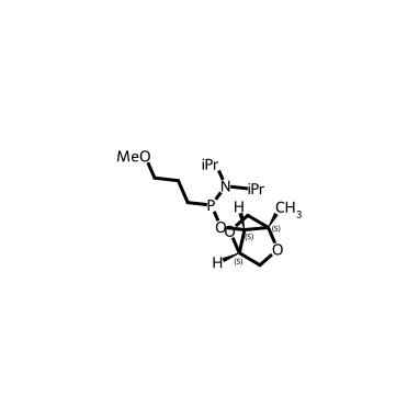 COCCCP(O[C@H]1[C@@H]2CO[C@@]1(C)CO2)N(C(C)C)C(C)C